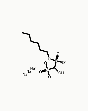 CCCCCCOP(=O)([O-])C(O)P(=O)([O-])[O-].[Na+].[Na+].[Na+]